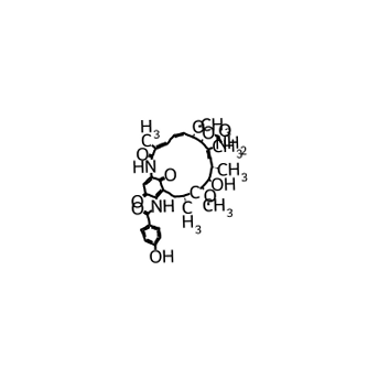 CO[C@H]1/C=C\C=C(/C)C(=O)NC2=CC(=O)C(NC(=O)c3ccc(O)cc3)=C(C[C@@H](C)C[C@H](OC)[C@H](O)[C@@H](C)/C=C(\C)[C@@H]1OC(N)=O)C2=O